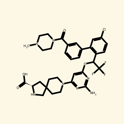 CN1CCN(C(=O)c2cccc(-c3cc(Cl)ccc3C(Oc3cc(N4CCC5(CC4)CN[C@H](C(=O)O)C5)nc(N)n3)C(F)(F)F)c2)CC1